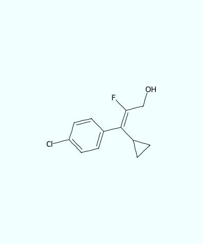 OCC(F)=C(c1ccc(Cl)cc1)C1CC1